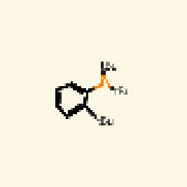 CC(C)(C)c1ccccc1P(C(C)(C)C)C(C)(C)C